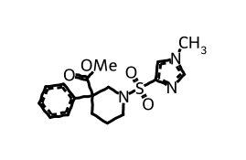 COC(=O)C1(c2ccccc2)CCCN(S(=O)(=O)c2cn(C)cn2)C1